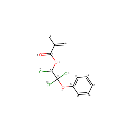 C=C(C)C(=O)OC(Cl)C(Cl)(Cl)Oc1ccccc1